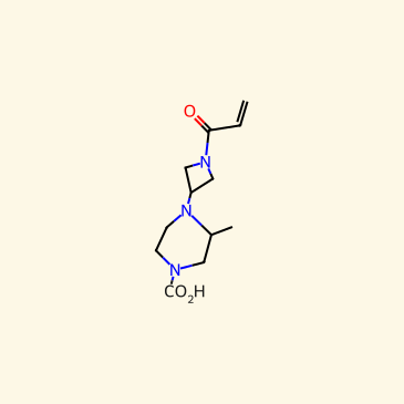 C=CC(=O)N1CC(N2CCN(C(=O)O)CC2C)C1